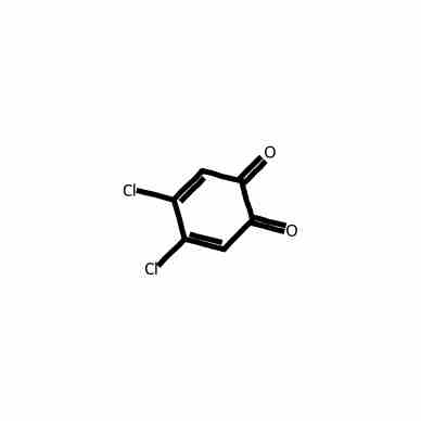 O=C1C=C(Cl)C(Cl)=CC1=O